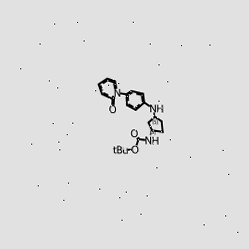 CC(C)(C)OC(=O)N[C@H]1CC[C@H](Nc2ccc(-n3ccccc3=O)cc2)C1